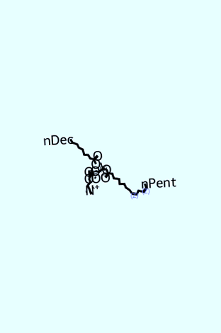 CCCCC/C=C\C/C=C\CCCCCCCC(=O)O[C@H](COC(=O)CCCCCCCCCCCCCCCCC)COP(=O)([O-])OCC[N+](C)(C)C